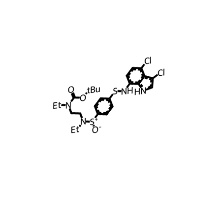 CCN(CCN(CC)[S+]([O-])c1ccc(SNc2ccc(Cl)c3c(Cl)c[nH]c23)cc1)C(=O)OC(C)(C)C